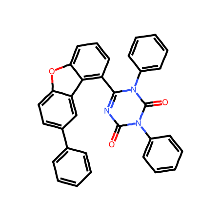 O=c1nc(-c2cccc3oc4ccc(-c5ccccc5)cc4c23)n(-c2ccccc2)c(=O)n1-c1ccccc1